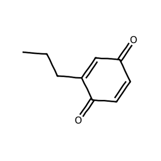 CCCC1=CC(=O)C=CC1=O